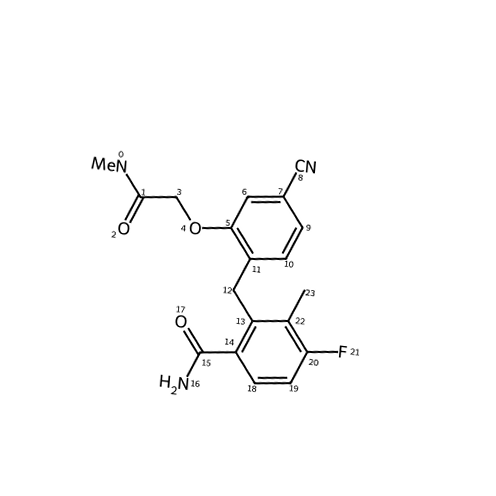 CNC(=O)COc1cc(C#N)ccc1Cc1c(C(N)=O)ccc(F)c1C